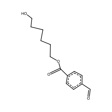 O=Cc1ccc(C(=O)OCCCCCCO)cc1